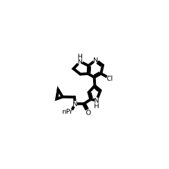 CCCN(CC1CC1)C(=O)c1cc(-c2c(Cl)cnc3c2CCN3)c[nH]1